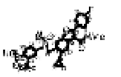 CNC(=O)c1c(-c2ccc(F)cc2)oc2cc(CN(c3ccc(B(O)O)c(C(F)F)c3)[SH](=O)=O)c(C3CC3)cc12